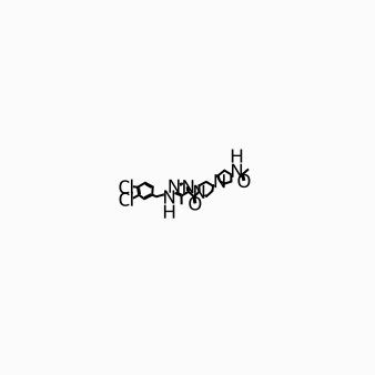 CC(=O)NC1CCN(C2CCN(C(=O)c3ncnc(NCCc4ccc(Cl)c(Cl)c4)c3C)CC2)CC1